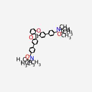 CC1(C)N=C(c2ccc(-c3ccc4c(c3)Oc3cccc5c3B4c3ccc(-c4ccc(C6=NC(C)(C)C(C)(C)O6)cc4)cc3O5)cc2)OC1(C)C